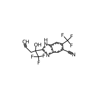 C#CCC(O)(c1nc2cc(C#N)c(C(F)(F)F)cc2[nH]1)C(F)(F)F